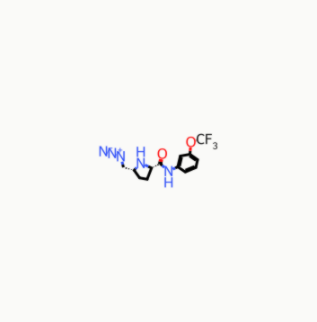 [N-]=[N+]=NC[C@H]1CC[C@@H](C(=O)Nc2cccc(OC(F)(F)F)c2)N1